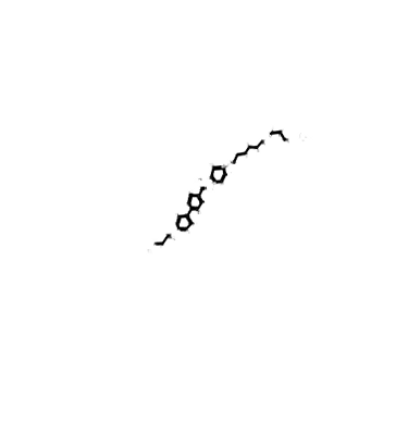 C=C(COC)C(=O)OCCCCCCOc1ccc(OC(=O)c2ccc(-c3ccc(OCCCC(=O)O)cc3)cc2)cc1